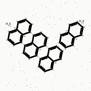 S.S.c1ccc2ccccc2c1.c1ccc2ccccc2c1.c1ccc2ccccc2c1.c1ccc2ccccc2c1